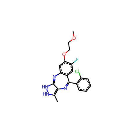 COCCOc1cc2c(cc1F)C(c1ccccc1Cl)=NC1=C(C)NNC1=N2